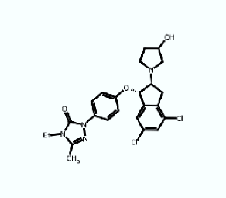 CCn1c(C)nn(-c2ccc(O[C@H]3c4cc(Cl)cc(Cl)c4C[C@@H]3N3CCC(O)C3)cc2)c1=O